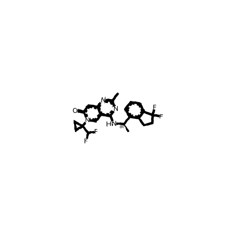 Cc1nc(N[C@H](C)c2cccc3c2CCC3(F)F)c2cn(C3(C(F)F)CC3)c(=O)cc2n1